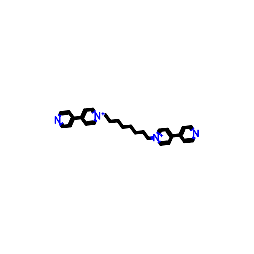 c1cc(-c2cc[n+](CCCCCCCC[n+]3ccc(-c4ccncc4)cc3)cc2)ccn1